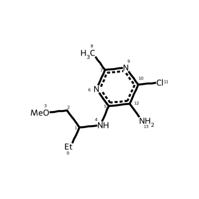 CCC(COC)Nc1nc(C)nc(Cl)c1N